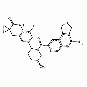 C[C@H]1CCC(c2cc(F)c3c(c2)CC2(CC2)C(=O)N3)N(C(=O)c2cc3c4c(c(N)nc3cn2)COC4)C1